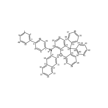 c1ccc(-c2ccc(N(c3ccc4ccccc4c3)c3cccc4c3Oc3ccccc3C4(c3ccccc3)c3ccccc3)cc2)cc1